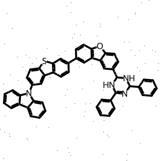 c1ccc(C2=NC(c3ccccc3)NC(c3ccc4oc5ccc(-c6ccc7c(c6)sc6ccc(-n8c9ccccc9c9ccccc98)cc67)cc5c4c3)N2)cc1